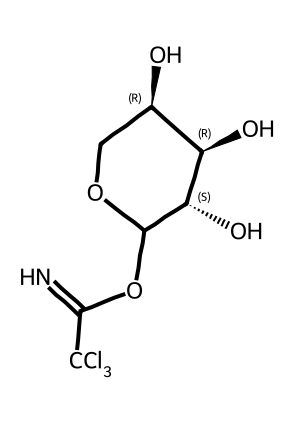 N=C(OC1OC[C@@H](O)[C@@H](O)[C@@H]1O)C(Cl)(Cl)Cl